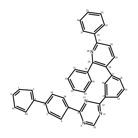 c1ccc(-c2ccc(-c3ncnc(-c4cccc(-c5ccc(-c6ccccc6)nc5-c5ccccc5)c4)n3)cc2)cc1